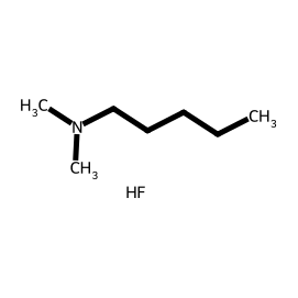 CCCCCN(C)C.F